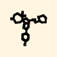 O=C(CC1(c2ccc(-c3ccc(Cl)cc3)s2)CCNCCS1(=O)=O)NOC1CCCCO1